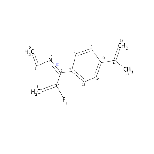 C=C/N=C(\C(=C)F)c1ccc(C(=C)C)cc1